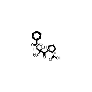 CC(C)(NS(=O)(=O)c1ccccc1)C(=O)N1CCC[C@H]1C(=O)O.[Na]